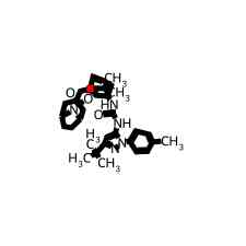 Cc1ccc(-n2nc(C(C)(C)C)cc2NC(=O)Nc2cccc(CC3CC4CCC(C3)N4C(=O)OCC(C)C)c2)cc1